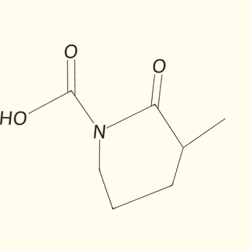 CC1CCCN(C(=O)O)C1=O